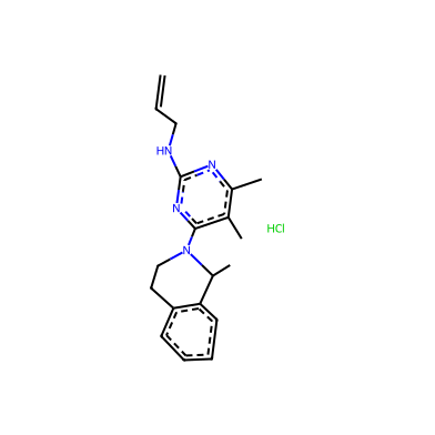 C=CCNc1nc(C)c(C)c(N2CCc3ccccc3C2C)n1.Cl